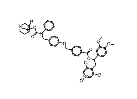 COc1ccc(C(Cc2c(Cl)c[n+]([O-])cc2Cl)OC(=O)c2ccc(COc3ccc(CN(C(=O)O[C@H]4CN5CCC4CC5)c4ccccc4)cc3)cc2)cc1OC